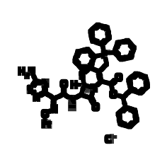 CCON=C(C(=O)NC1C(=O)N2C(C(=O)OC(c3ccccc3)c3ccccc3)=C(C[P+](c3ccccc3)(c3ccccc3)c3ccccc3)CS[C@H]12)c1nsc(N)n1.[Cl-]